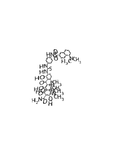 C[C@H]1c2ccc(NC(=S)Nc3ccc(NS(=O)(=O)c4ccc5c(N(C)C)cccc5c4)cc3)c(O)c2C(=O)C2=C(O)[C@]3(O)C(=O)C(C(N)=O)=C(O)[C@@H](N(C)C)[C@@H]3[C@@H](O)[C@@H]21